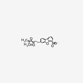 CN(C)C(=O)N(O)CCc1ccc2c(c1)oc1c([N+](=O)[O-])cccc12